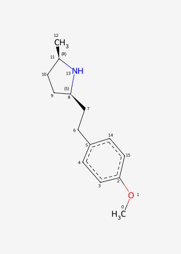 COc1ccc(CC[C@H]2CC[C@@H](C)N2)cc1